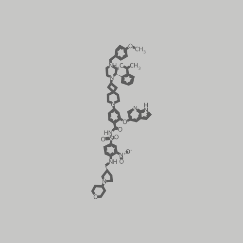 COc1ccc(CN2CCN(C3CC4(CCN(c5ccc(C(=O)NS(=O)(=O)c6ccc(NC[C@@H]7CCN(C8CCOCC8)C7)c([N+](=O)[O-])c6)c(Oc6cnc7[nH]ccc7c6)c5)CC4)C3)[C@@H](c3ccccc3C(C)C)C2)cc1